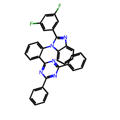 Fc1cc(F)cc(-c2nc3ccccc3n2-c2ccccc2-c2nc(-c3ccccc3)nc(-c3ccccc3)n2)c1